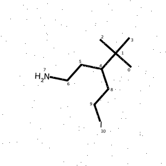 CC(C)(C)C(CCN)CCI